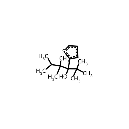 CC(C)C(C)(C)C(O)(c1cccs1)C(C)(C)C